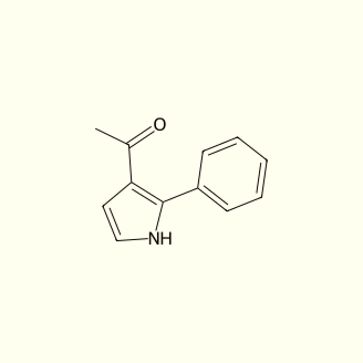 CC(=O)c1cc[nH]c1-c1ccccc1